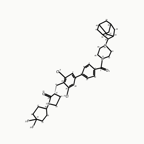 O=C(c1ccc(-c2cc(Cl)c(C[C@@H]3CCN(C4CCC(F)(F)CC4)C3=O)c(Cl)c2)cc1)N1CCN(C2C3CC4CC(C3)CC2C4)CC1